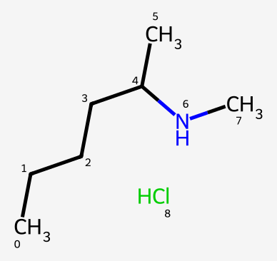 CCCCC(C)NC.Cl